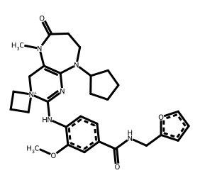 COc1cc(C(=O)NCc2ccco2)ccc1NC1=NC2=C(C[N+]13CCC3)N(C)C(=O)CCN2C1CCCC1